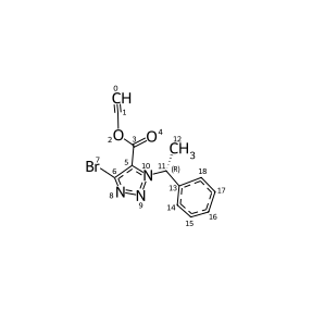 C#COC(=O)c1c(Br)nnn1[C@H](C)c1ccccc1